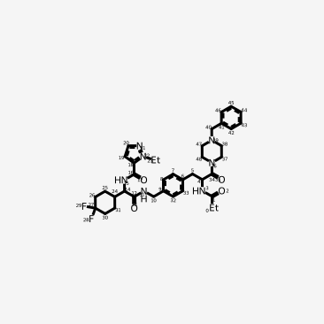 CCC(=O)NC(Cc1ccc(CNC(=O)C(NC(=O)c2ccnn2CC)C2CCC(F)(F)CC2)cc1)C(=O)N1CCN(Cc2ccccc2)CC1